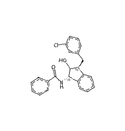 O=C(N[C@H]1c2ccccc2[C@H](Cc2cccc(Cl)c2)C1O)c1ccccc1